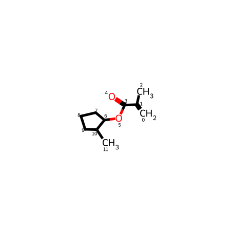 C=C(C)C(=O)OC1CCCC1C